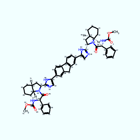 COC(=O)N[C@@H](C(=O)N1[C@@H]2CCCC[C@@H]2C[C@H]1c1ncc(-c2ccc3c(c2)Cc2cc(-c4cnc([C@@H]5C[C@H]6CCCC[C@H]6N5C(=O)[C@H](NC(=O)OC)c5ccccc5)[nH]4)ccc2-3)[nH]1)c1ccccc1